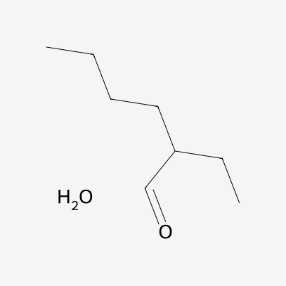 CCCCC(C=O)CC.O